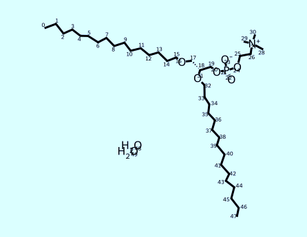 CCCCCCCCCCCCCCCCOC[C@H](COP(=O)([O-])OCC[N+](C)(C)C)OCCCCCCCCCCCCCCCC.O.O